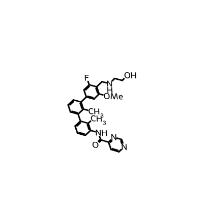 COc1cc(-c2cccc(-c3cccc(NC(=O)c4ccncn4)c3C)c2C)cc(F)c1CNCCO